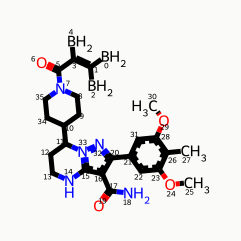 BC(B)=C(B)C(=O)N1CCC(C2CCNc3c(C(N)=O)c(-c4cc(OC)c(C)c(OC)c4)nn32)CC1